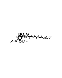 CCCCCCCCC=CCCCCCCCC(=O)OCc1cc(OC)c(OC)cc1[N+](=O)[O-]